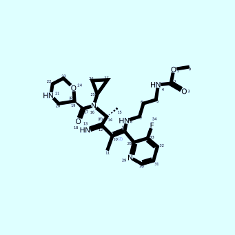 COC(=O)NCCCN/C(=C(/C)C(=N)[C@@H](C)N(C(=O)[C@H]1CNCCO1)C1CC1)c1ncccc1F